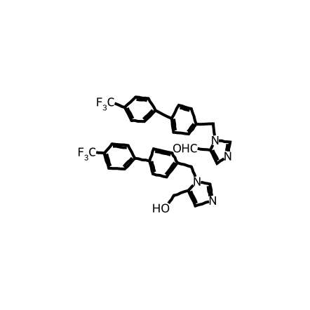 O=Cc1cncn1Cc1ccc(-c2ccc(C(F)(F)F)cc2)cc1.OCc1cncn1Cc1ccc(-c2ccc(C(F)(F)F)cc2)cc1